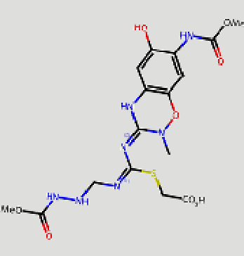 COC(=O)NNC/N=C(\N=C1\Nc2cc(O)c(NC(=O)OC)cc2ON1C)SCC(=O)O